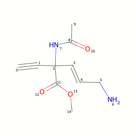 C#CC(C=CCN)(NC(C)=O)C(=O)OC